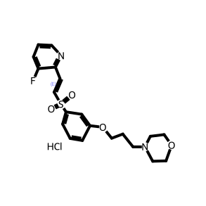 Cl.O=S(=O)(/C=C/c1ncccc1F)c1cccc(OCCCN2CCOCC2)c1